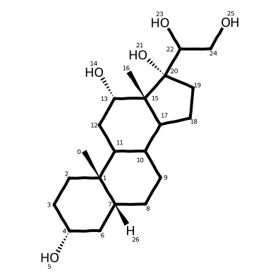 C[C@]12CC[C@@H](O)C[C@H]1CCC1C2C[C@H](O)[C@@]2(C)C1CC[C@]2(O)C(O)CO